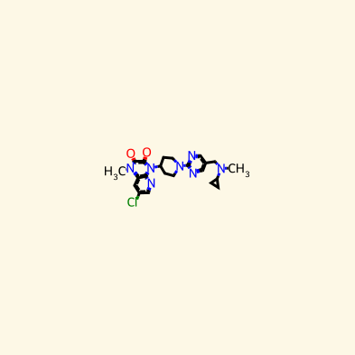 CN(Cc1cnc(N2CCC(n3c(=O)c(=O)n(C)c4cc(Cl)cnc43)CC2)nc1)C1CC1